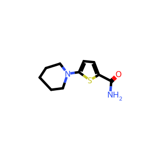 NC(=O)c1ccc(N2CCCCC2)s1